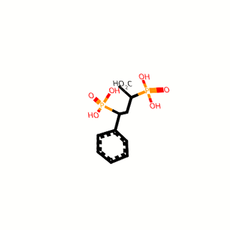 O=C(O)C(CC(c1ccccc1)P(=O)(O)O)P(=O)(O)O